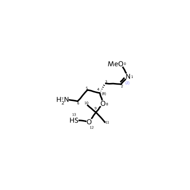 CO/N=C\C[C@@H](CCN)OC(C)(C)OS